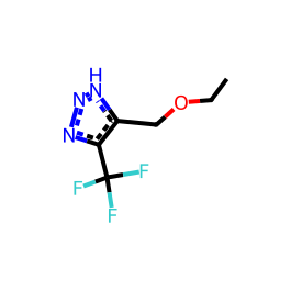 CCOCc1[nH]nnc1C(F)(F)F